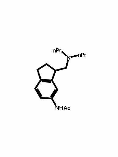 CCCN(CCC)CC1CCc2ccc(NC(C)=O)cc21